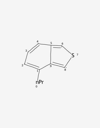 CCCc1cccc2[c]s[c]c12